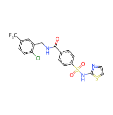 O=C(NCc1cc(C(F)(F)F)ccc1Cl)c1ccc(S(=O)(=O)Nc2nccs2)cc1